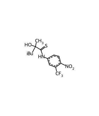 CCC(C)C(C)(O)C(=S)Nc1ccc([N+](=O)[O-])c(C(F)(F)F)c1